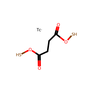 O=C(CCC(=O)OS)OS.[Tc]